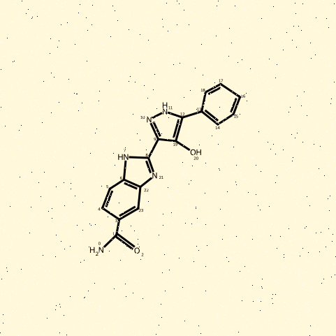 NC(=O)c1ccc2[nH]c(-c3n[nH]c(-c4ccccc4)c3O)nc2c1